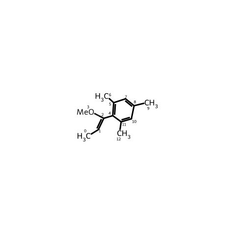 CC=C(OC)c1c(C)cc(C)cc1C